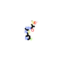 Cc1nc(-c2cncc(F)c2)sc1NC(=O)C(C)C[S+](C)[O-]